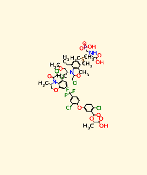 CC1COc2ccccc2N1C(=O)C(Cl)Cl.CCc1cccc(C)c1N(C(=O)CCl)C(C)COC.C[C@H](OC(=O)c1cc(Oc2ccc(C(F)(F)F)cc2Cl)ccc1Cl)C(=O)O.C[S+](C)C.O=C(O)CNCP(=O)([O-])O